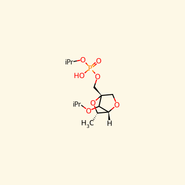 CC(C)OC1[C@@H]2OC[C@@]1(COP(=O)(O)OC(C)C)O[C@H]2C